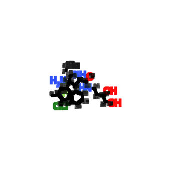 Cc1cc([C@@]2(N)[C@H](CC(C)(C)C)N[C@@H](C(=O)NCC[C@H](O)CO)[C@@H]2c2cccc(Cl)c2F)ccc1Cl